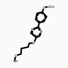 CCCCCCCCOc1ccc(-c2ncc(OCCCCOCCC)cn2)cc1